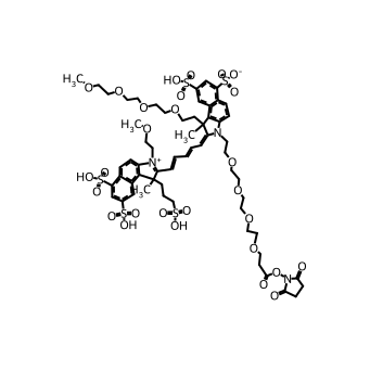 COCCOCCOCCOCCC1(C)\C(=C/C=C/C=C/C2=[N+](CCOC)c3ccc4c(S(=O)(=O)O)cc(S(=O)(=O)O)cc4c3C2(C)CCCS(=O)(=O)O)N(CCOCCOCCOCCOCCC(=O)ON2C(=O)CCC2=O)c2ccc3c(S(=O)(=O)[O-])cc(S(=O)(=O)O)cc3c21